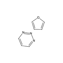 c1ccoc1.c1cnnnc1